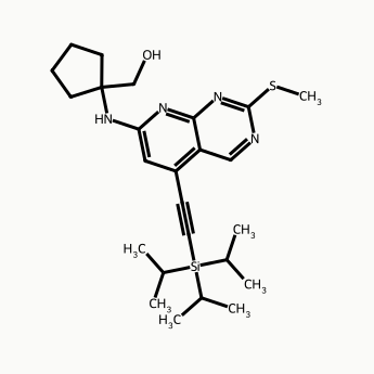 CSc1ncc2c(C#C[Si](C(C)C)(C(C)C)C(C)C)cc(NC3(CO)CCCC3)nc2n1